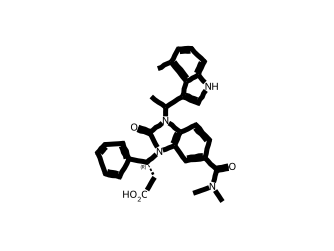 Cc1cccc2[nH]cc(C(C)n3c(=O)n([C@H](CC(=O)O)c4ccccc4)c4cc(C(=O)N(C)C)ccc43)c12